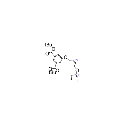 C=C/C(=C\C)OC/C=C\COc1cc(C(=O)OC(C)(C)C)cc(C(=O)OC(C)(C)C)c1